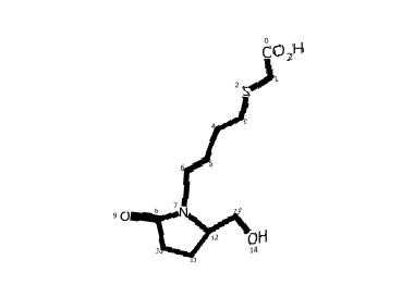 O=C(O)CSCCCCN1C(=O)CCC1CO